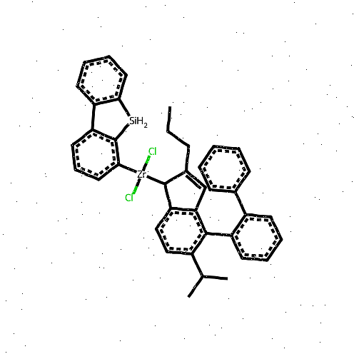 CCCC1=Cc2c(ccc(C(C)C)c2-c2ccccc2-c2ccccc2)[CH]1[Zr]([Cl])([Cl])[c]1cccc2c1[SiH2]c1ccccc1-2